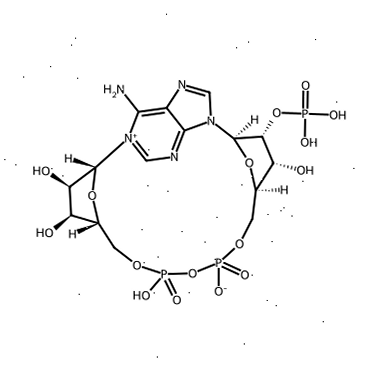 Nc1c2ncn3c2nc[n+]1[C@@H]1O[C@H](COP(=O)(O)OP(=O)([O-])OC[C@H]2O[C@@H]3[C@H](OP(=O)(O)O)[C@@H]2O)[C@@H](O)[C@H]1O